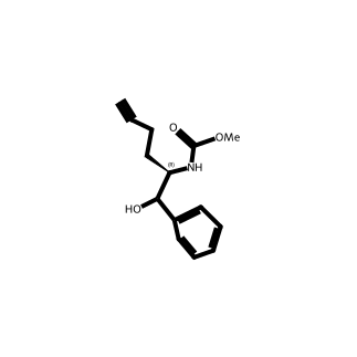 C#CCC[C@@H](NC(=O)OC)C(O)c1ccccc1